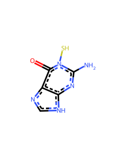 Nc1nc2[nH]cnc2c(=O)n1S